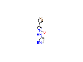 O=C(NC1CC2CNC1C2)n1ccc(-c2ccsc2)c1